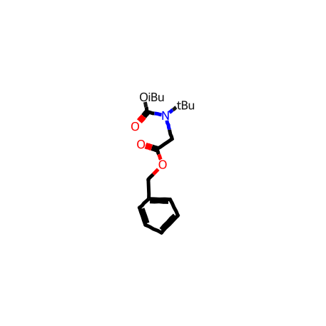 CC(C)COC(=O)N(CC(=O)OCc1ccccc1)C(C)(C)C